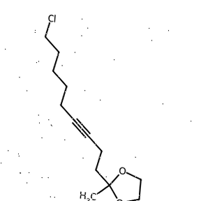 CC1(CCC#CCCCCCCl)OCCO1